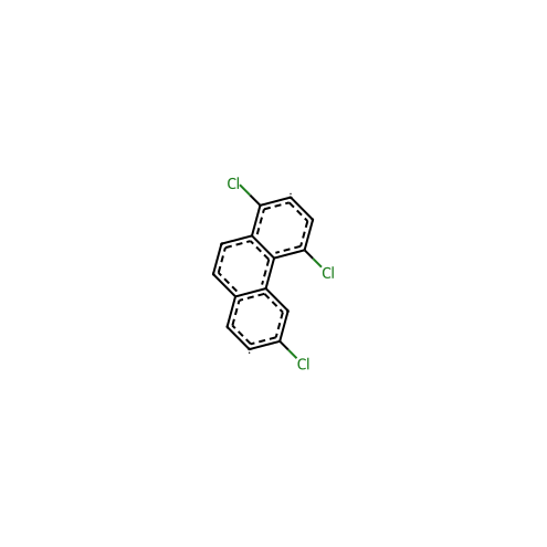 Clc1[c]cc2ccc3c(Cl)[c]cc(Cl)c3c2c1